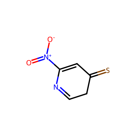 O=[N+]([O-])C1=CC(=S)CC=N1